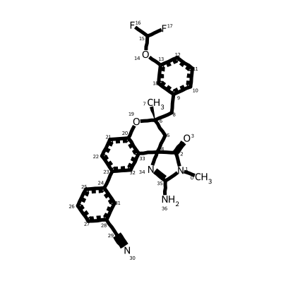 CN1C(=O)C2(C[C@@](C)(Cc3cccc(OC(F)F)c3)Oc3ccc(-c4cccc(C#N)c4)cc32)N=C1N